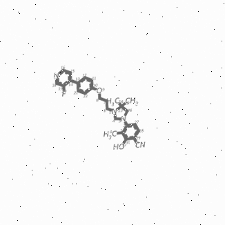 Cc1c(N2CN(CCCOc3ccc(-c4ccncc4F)cc3)C(C)(C)C2)ccc(C#N)c1O